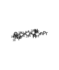 CCCC1CC[C@@H]2C[C@H](c3ccc(-c4ccc(C5=NC(C)(C)CO5)c(F)c4)cc3)CC[C@@H]2C1